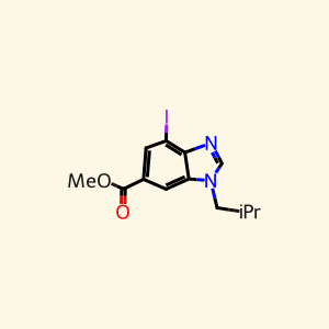 COC(=O)c1cc(I)c2ncn(CC(C)C)c2c1